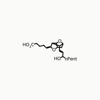 CCCCCC(O)/C=C/C1C2CC3O/C(=C/CCCC(=O)O)C1C3O2